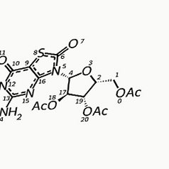 CC(=O)OC[C@H]1O[C@@H](n2c(=O)sc3c(=O)[nH]c(N)nc32)[C@H](OC(C)=O)[C@H]1OC(C)=O